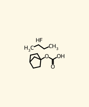 CCCC.F.O=C(O)OC12CCC(CC1)C2